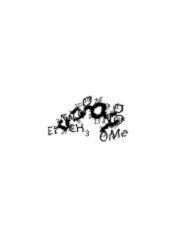 CCc1cnc(N2CCN(C(=O)c3ccc(N4C(=O)OCC4COC)cc3)CC2)c(C)c1